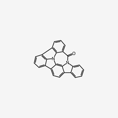 O=c1c2cccc3c4cccc5c6ccc7c8ccccc8n1c7c6n(c23)c45